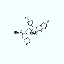 COc1nc2ccc(Br)cc2cc1C(c1ccc(Cl)cc1)C1(O)CCN(C(=O)OC(C)(C)C)[C@H](c2ccc(F)cc2C)C1